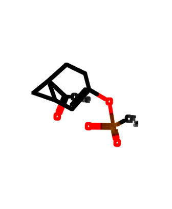 COC(=O)C12CCC(OS(=O)(=O)C(F)(F)F)=CC1C2